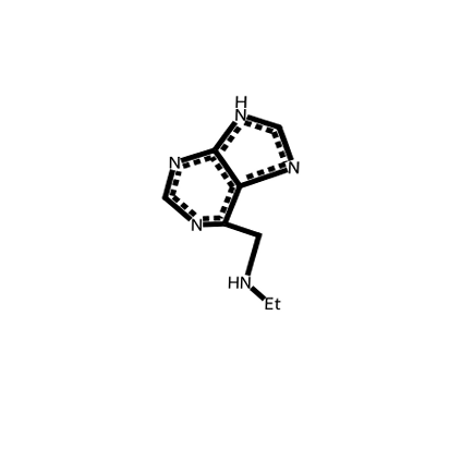 CCNCc1ncnc2[nH]cnc12